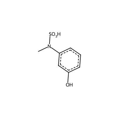 CN(c1cccc(O)c1)S(=O)(=O)O